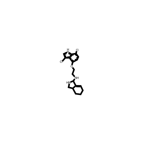 Clc1ccc(OCCNC2NCC3CCCC=C32)c2c(Cl)c[nH]c12